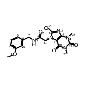 COc1cccc(CNC(=O)Cn2c(Cl)nc3c2c(=O)n(C)c(=O)n3C)c1